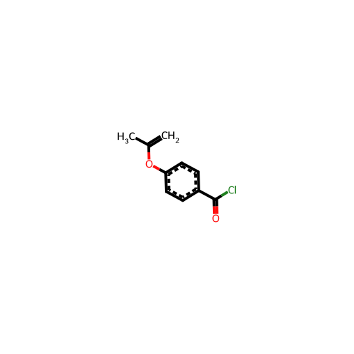 C=C(C)Oc1ccc(C(=O)Cl)cc1